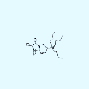 CCC[CH2][Sn]([CH2]CCC)([CH2]CCC)[c]1ccc2c(c1)C(=O)C(=O)N2